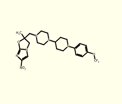 CC1(CN2CCN(C3CCN(c4ccc(OC(F)(F)F)cc4)CC3)CC2)Cn2cc([N+](=O)[O-])nc2O1